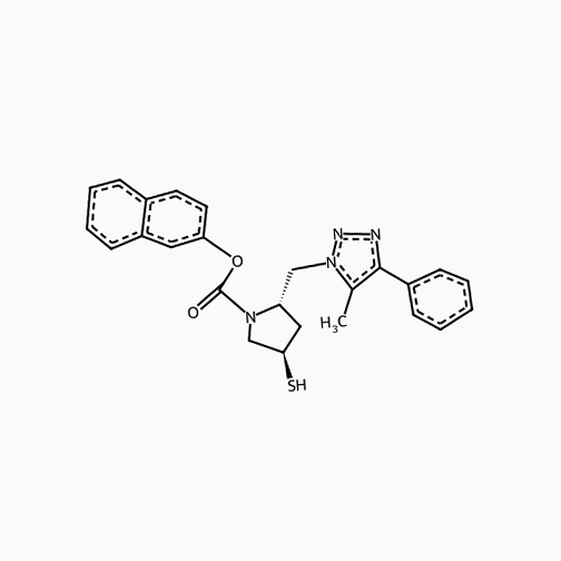 Cc1c(-c2ccccc2)nnn1C[C@@H]1C[C@@H](S)CN1C(=O)Oc1ccc2ccccc2c1